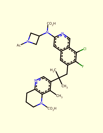 CC(=O)N1CC(N(C(=O)O)c2cc3cc(CC(C)(C)c4cnc5c(c4C)N(C(=O)O)CCC5)c(F)c(Cl)c3cn2)C1